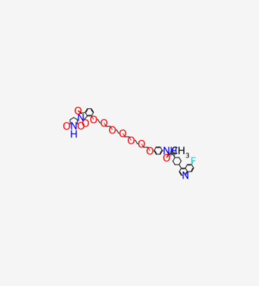 C[C@@H](C(=O)Nc1ccc(OCCOCCOCCOCCOCCOCCOc2cccc3c2C(=O)N(C2CCC(=O)NC2=O)C3=O)cc1)C1CCC(c2ccnc3ccc(F)cc23)CC1